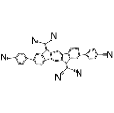 N#CC(C#N)=C1c2cc(-c3ccc(C#N)cc3)ccc2-c2cc3c(cc21)-c1ccc(-c2ccc(C#N)cc2)cc1C3=C(C#N)C#N